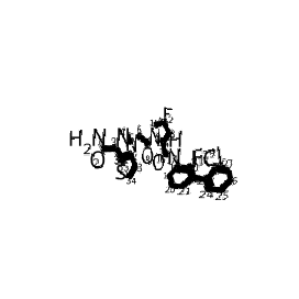 NC(=O)c1nn(CC(=O)N2C[C@H](F)CC2C(=O)Nc2cccc(-c3ccccc3Cl)c2F)c2ccsc12